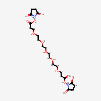 O=C(CCOCCOCCOCCOCCOCCC(=O)ON1C(=O)CCC1=O)ON1C(=O)CCC1=O